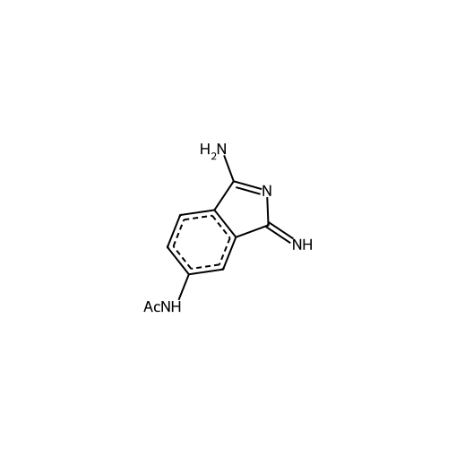 CC(=O)Nc1ccc2c(c1)C(=N)N=C2N